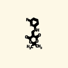 CC1(C)OC(=O)C(=CNc2cccc(F)n2)C(=O)O1